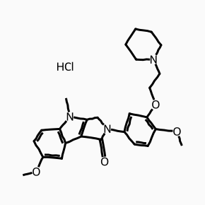 COc1ccc2c(c1)c1c(n2C)CN(c2ccc(OC)c(OCCN3CCCCC3)c2)C1=O.Cl